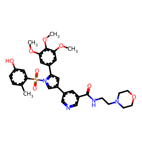 COc1cc(-c2cc(-c3cncc(C(=O)NCCN4CCOCC4)c3)cn2S(=O)(=O)c2cc(O)ccc2C)cc(OC)c1OC